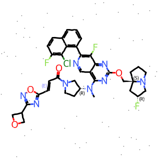 CN(c1nc(OC[C@@]23CCCN2C[C@H](F)C3)nc2c(F)c(-c3cccc4ccc(F)c(Cl)c34)ncc12)[C@@H]1CCN(C(=O)/C=C/c2nc(C3COC3)no2)C1